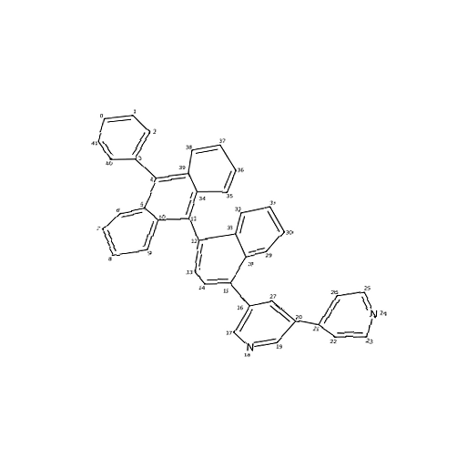 c1ccc(-c2c3ccccc3c(-c3ccc(-c4cncc(-c5ccncc5)c4)c4ccccc34)c3ccccc23)cc1